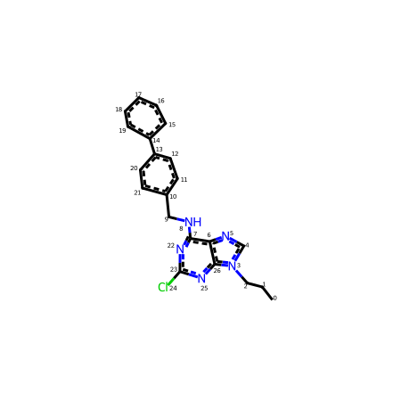 CCCn1cnc2c(NCc3ccc(-c4ccccc4)cc3)nc(Cl)nc21